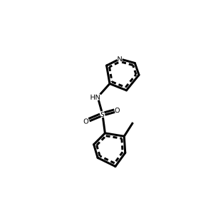 Cc1ccccc1S(=O)(=O)Nc1cccnc1